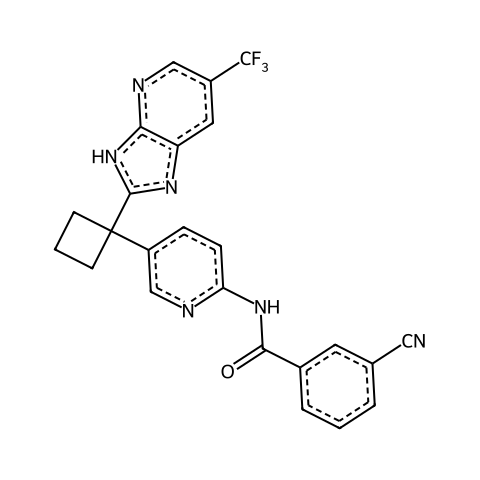 N#Cc1cccc(C(=O)Nc2ccc(C3(c4nc5cc(C(F)(F)F)cnc5[nH]4)CCC3)cn2)c1